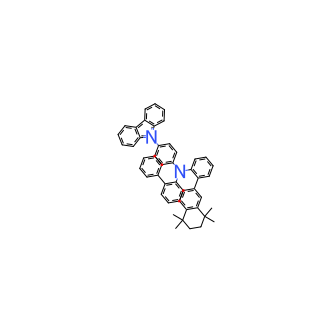 CC1(C)CCC(C)(C)c2cc(-c3ccccc3N(c3ccc(-n4c5ccccc5c5ccccc54)cc3)c3ccccc3-c3ccccc3)ccc21